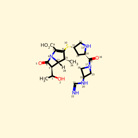 CC(O)[C@H]1C(=O)N2C(C(=O)O)=C(S[C@@H]3CN[C@H](C(=O)N4CC(NC=N)C4)C3)[C@H](C)[C@H]12